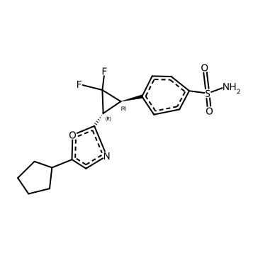 NS(=O)(=O)c1ccc([C@H]2[C@H](c3ncc(C4CCCC4)o3)C2(F)F)cc1